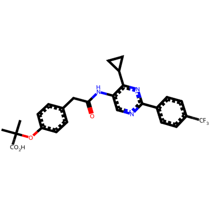 CC(C)(Oc1ccc(CC(=O)Nc2cnc(-c3ccc(C(F)(F)F)cc3)nc2C2CC2)cc1)C(=O)O